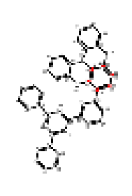 c1ccc(-c2nc(-c3ccccc3)nc(-c3cccc(-c4ccccc4Oc4ccccc4N4c5ccccc5Sc5ccccc54)c3)n2)cc1